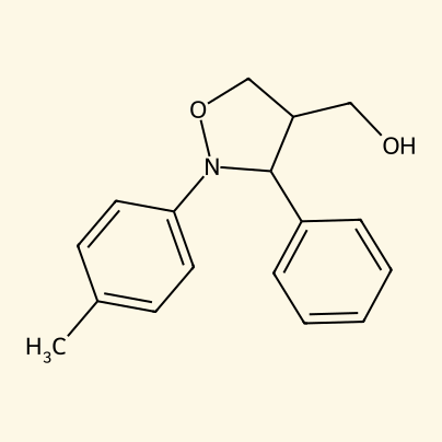 Cc1ccc(N2OCC(CO)C2c2ccccc2)cc1